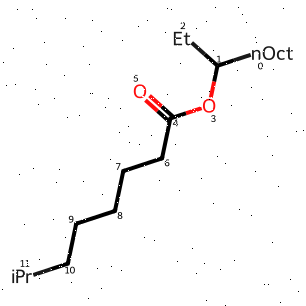 CCCCCCCCC(CC)OC(=O)CCCCCC(C)C